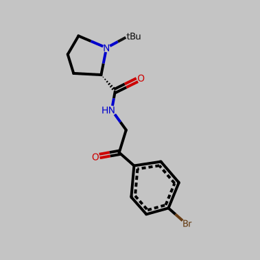 CC(C)(C)N1CCC[C@H]1C(=O)NCC(=O)c1ccc(Br)cc1